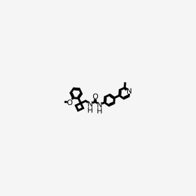 COc1ccccc1C1(CNC(=O)Nc2ccc(-c3ccnc(C)c3)cc2)CCC1